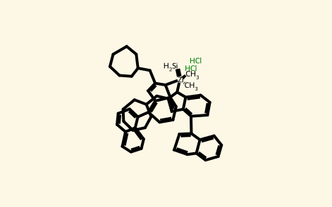 Cl.Cl.[CH3][Zr]([CH3])(=[SiH2])([CH]1C(CC2CCCCCC2)=Cc2c(-c3cccc4ccccc34)cccc21)[CH]1C(CC2CCCCCC2)=Cc2c(-c3cccc4ccccc34)cccc21